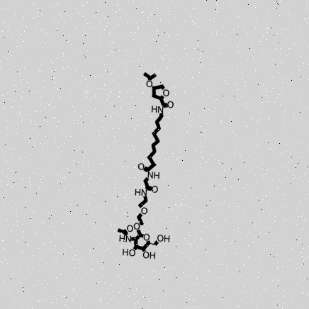 CC(=O)NC1C(OCCOCCNC(=O)CNC(=O)CCCCCCCCCNC(=O)C2C[C@@H](OC(C)C)CO2)O[C@H](CO)C(O)C1O